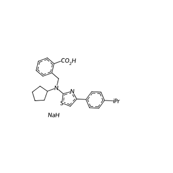 CC(C)c1ccc(-c2csc(N(Cc3ccccc3C(=O)O)C3CCCC3)n2)cc1.[NaH]